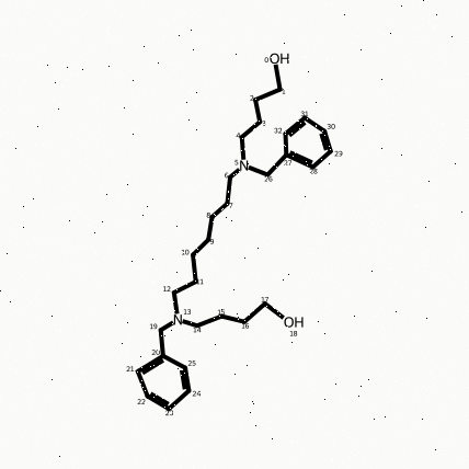 OCCCCN(CCCCCCCN(CCCCO)Cc1ccccc1)Cc1ccccc1